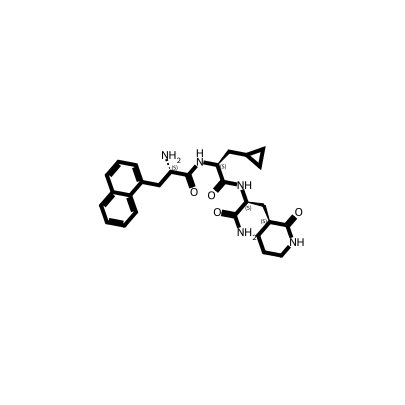 NC(=O)[C@H](C[C@@H]1CCCNC1=O)NC(=O)[C@H](CC1CC1)NC(=O)[C@@H](N)Cc1cccc2ccccc12